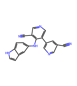 N#Cc1cncc(-c2cncc(C#N)c2Nc2ccc3[nH]ccc3c2)c1